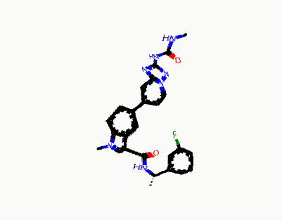 CNC(=O)Nc1nc2cc(-c3ccc4c(c3)c(C(=O)N[C@@H](C)c3cccc(F)c3)cn4C)ccn2n1